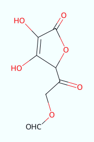 O=COCC(=O)C1OC(=O)C(O)=C1O